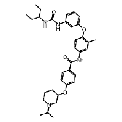 CCC(CC)NC(=O)Nc1cccc(Oc2ccc(NC(=O)c3ccc(OC4CCCN(C(C)C)C4)cc3)cc2C)c1